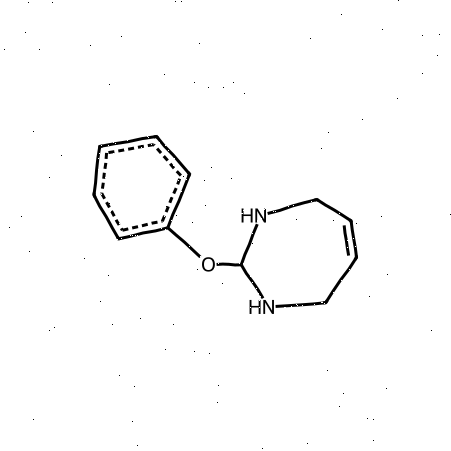 C1=CCNC(Oc2ccccc2)NC1